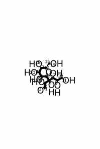 O=C[C@H](O)[C@@](O)([C@H](O)[C@H](O)CO)[C@@H]1O[C@H](CO)[C@@H](O)[C@H](O)[C@H]1O